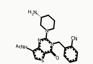 CC(=O)Nc1csc2c(=O)n(Cc3ccccc3C#N)c(N3CCC[C@@H](N)C3)nc12